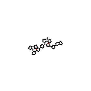 c1cc(-c2ccc(N(c3ccc(-c4ccc(-c5ccccc5-n5c6ccccc6c6ccccc65)cc4)cc3)c3cccc4sc5ccccc5c34)cc2)cc(-c2ccc3ccccc3c2)c1